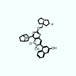 CN1C(c2cc(O)cc3ccccc23)=Cc2nc(OC[C@@]34CCCN3C[C@H](F)C4)nc(N3CC4CCC(C3)N4)c2[S+]1[O-]